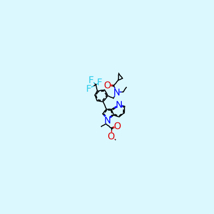 CCN(Cc1cc(C(F)(F)F)ccc1-c1cn(C(C)C(=O)OC)c2cccnc12)C(=O)C1CC1